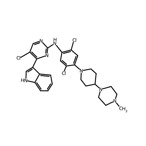 CN1CCN(C2CCN(c3cc(Cl)c(Nc4ncc(Cl)c(-c5c[nH]c6ccccc56)n4)cc3Cl)CC2)CC1